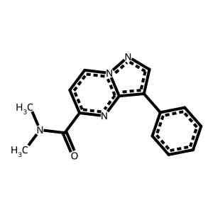 CN(C)C(=O)c1ccn2ncc(-c3ccccc3)c2n1